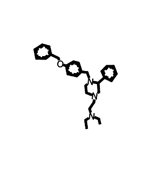 CCN(CC)CCN1CCN(Cc2ccc(OCc3ccccc3)cc2)C(c2ccccc2)C1